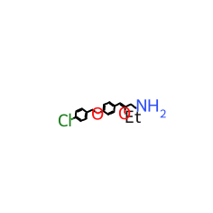 CCOC(=Cc1ccc(OCc2ccc(Cl)cc2)cc1)CCN